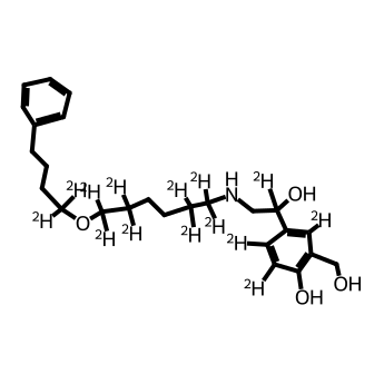 [2H]c1c([2H])c(C([2H])(O)CNC([2H])([2H])C([2H])([2H])CCC([2H])([2H])C([2H])([2H])OC([2H])([2H])CCCc2ccccc2)c([2H])c(CO)c1O